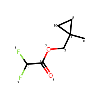 CC1(COC(=O)C(F)F)CC1